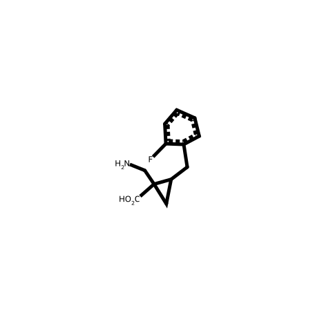 NCC1(C(=O)O)CC1Cc1ccccc1F